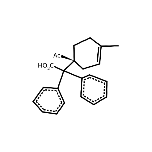 CC(=O)[C@]1(C(C(=O)O)(c2ccccc2)c2ccccc2)CC=C(C)CC1